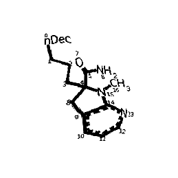 CCCCCCCCCCCCCC1(C(N)=O)Cc2cccnc2N1C